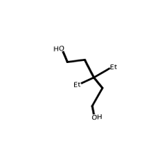 CCC(CC)(CCO)CCO